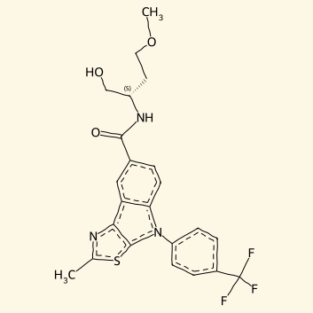 COCC[C@@H](CO)NC(=O)c1ccc2c(c1)c1nc(C)sc1n2-c1ccc(C(F)(F)F)cc1